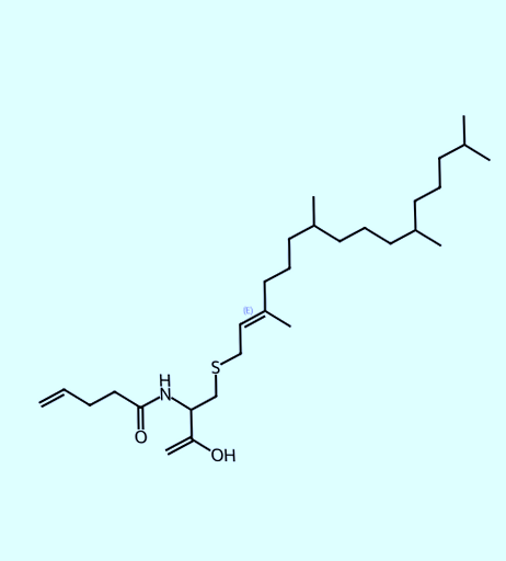 C=CCCC(=O)NC(CSC/C=C(\C)CCCC(C)CCCC(C)CCCC(C)C)C(=C)O